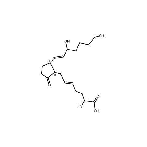 CCCCCC(O)C=C[C@H]1CCC(=O)[C@@H]1CC=CCCC(O)C(=O)O